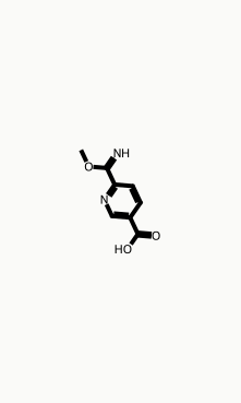 COC(=N)c1ccc(C(=O)O)cn1